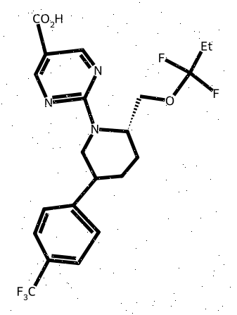 CCC(F)(F)OC[C@@H]1CCC(c2ccc(C(F)(F)F)cc2)CN1c1ncc(C(=O)O)cn1